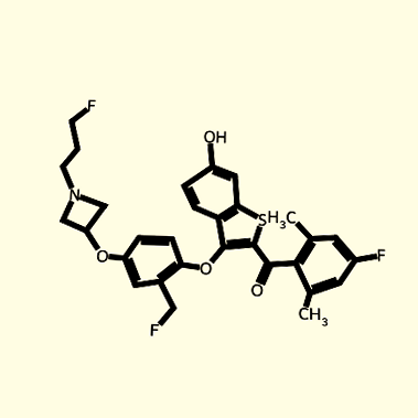 Cc1cc(F)cc(C)c1C(=O)c1sc2cc(O)ccc2c1Oc1ccc(OC2CN(CCCF)C2)cc1CF